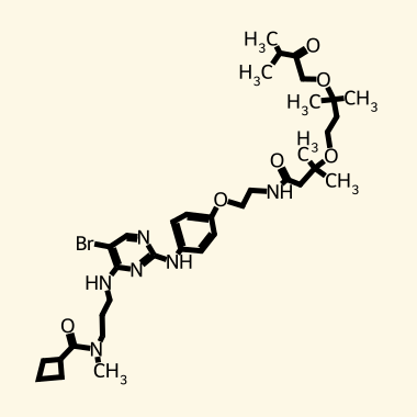 CC(C)C(=O)COC(C)(C)CCOC(C)(C)CC(=O)NCCOc1ccc(Nc2ncc(Br)c(NCCCN(C)C(=O)C3CCC3)n2)cc1